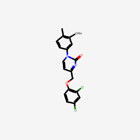 COc1cc(-n2ccc(COc3ccc(Cl)cc3Cl)nc2=O)ccc1C